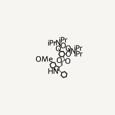 COc1ccc2[nH]c(-c3ccccc3)c(/C=C3\Oc4cc(OC(=O)N(C(C)C)C(C)C)cc(OC(=O)N(C(C)C)C(C)C)c4C3=O)c2c1